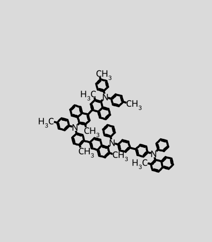 Cc1ccc(N(c2ccc(C)cc2)c2c(C)cc(-c3cc(C)c(N(c4ccc(C)cc4)c4ccc(C)c(-c5ccc6c(N(c7ccccc7)c7ccc(-c8ccc(N(c9ccccc9)c9c(C)ccc%10ccccc9%10)cc8)cc7)c(C)ccc6c5)c4)c4ccccc34)c3ccccc23)cc1